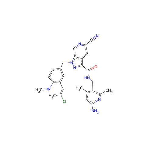 C=Nc1ccc(Cn2nc(C(=O)NCc3c(C)cc(N)nc3C)c3cc(C#N)ncc32)cc1/C=C(\C)Cl